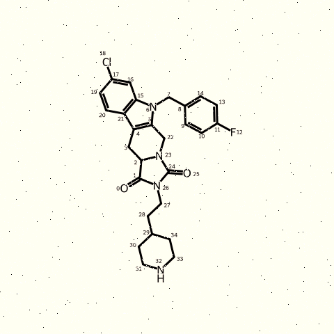 O=C1C2Cc3c(n(Cc4ccc(F)cc4)c4cc(Cl)ccc34)CN2C(=O)N1CCC1CCNCC1